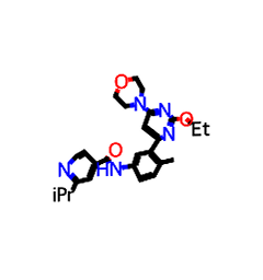 CCOc1nc(-c2cc(NC(=O)c3ccnc(C(C)C)c3)ccc2C)cc(N2CCOCC2)n1